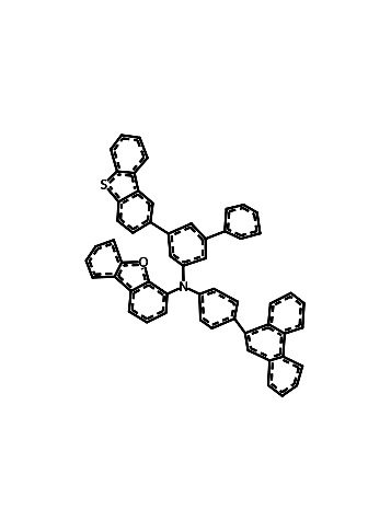 c1ccc(-c2cc(-c3ccc4sc5ccccc5c4c3)cc(N(c3ccc(-c4cc5ccccc5c5ccccc45)cc3)c3cccc4c3oc3ccccc34)c2)cc1